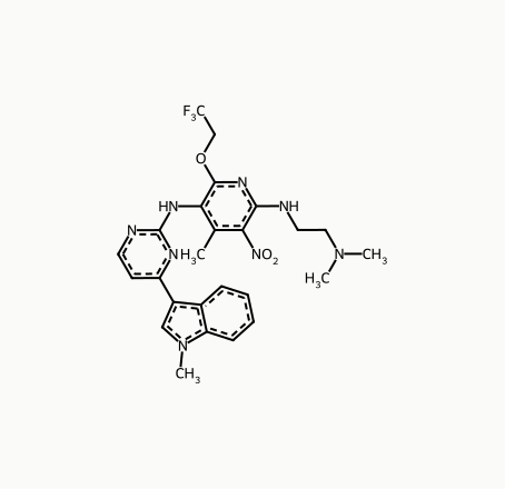 Cc1c(Nc2nccc(-c3cn(C)c4ccccc34)n2)c(OCC(F)(F)F)nc(NCCN(C)C)c1[N+](=O)[O-]